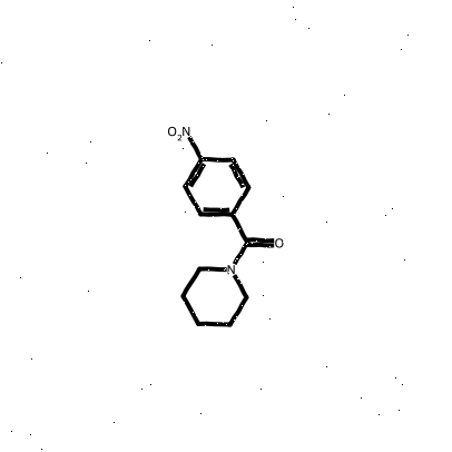 O=C(c1ccc([N+](=O)[O-])cc1)N1CCCCC1